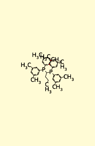 CCCC(P(c1cc(C)cc(C)c1)c1cc(C)cc(C)c1)P(c1cc(C)cc(C)c1)c1cc(C)cc(C)c1